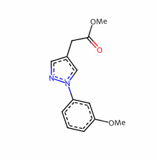 COC(=O)Cc1cnn(-c2cccc(OC)c2)c1